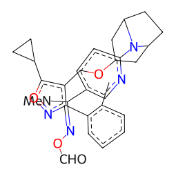 CN/C(=N\OC=O)c1ccc(N2C3CCC2CC(OCc2c(-c4ccccc4C)noc2C2CC2)C3)nc1